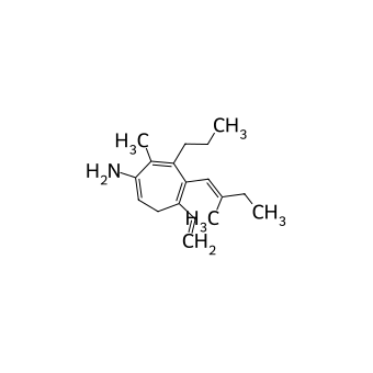 C=CC1=C(/C=C(\C)CC)C(CCC)=C(C)C(N)=CC1